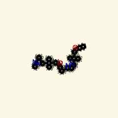 c1ccc2cc3c(cc2c1)oc1ccc(-c2c4ccccc4c(-c4ccc5ccc6cc(-c7cccc8cc9c(cc78)oc7ccc(-c8c%10ccccc%10c(-c%10ccc%11c(c%10)c%10ccccc%10c%10nc%12ccccc%12n%11%10)c%10ccccc8%10)cc79)cnc6c5n4)c4ccccc24)cc13